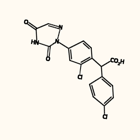 O=C(O)C(c1ccc(Cl)cc1)c1ccc(-n2ncc(=O)[nH]c2=O)cc1Cl